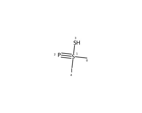 CS(#P)(S)I